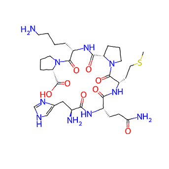 CSCC[C@H](NC(=O)[C@H](CCC(N)=O)NC(=O)[C@@H](N)Cc1c[nH]cn1)C(=O)N1CCC[C@H]1C(=O)N[C@@H](CCCCN)C(=O)N1CCC[C@H]1C(=O)O